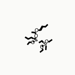 CCC=COC(C)O[Si](C)(CCC)OCC.CCO[Si](CC)(CC)OCC